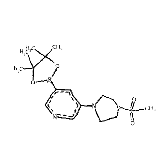 CC1(C)OB(c2cncc(N3CCN(S(C)(=O)=O)CC3)c2)OC1(C)C